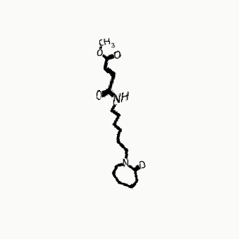 COC(=O)C=CC(=O)NCCCCCCN1CCCCCC1=O